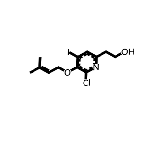 CC(C)=CCOc1c(I)cc(CCO)nc1Cl